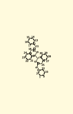 c1ccc(CP(CCCCP(Cc2ccccc2)Cc2ccccc2)Cc2ccccc2)cc1